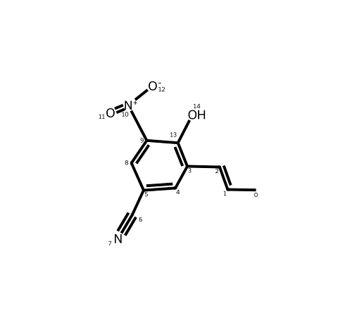 CC=Cc1cc(C#N)cc([N+](=O)[O-])c1O